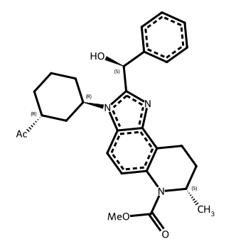 COC(=O)N1c2ccc3c(nc([C@@H](O)c4ccccc4)n3[C@@H]3CCC[C@@H](C(C)=O)C3)c2CC[C@@H]1C